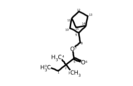 CCC(C)(C)C(=O)OCC1CC2CCC1C2